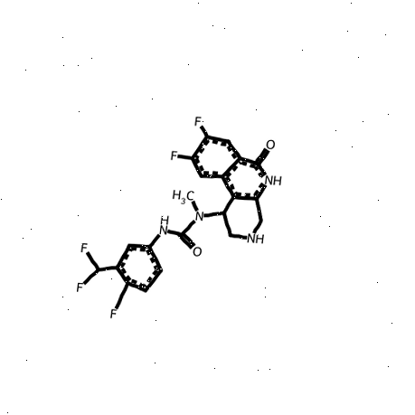 CN(C(=O)Nc1ccc(F)c(C(F)F)c1)C1CNCc2[nH]c(=O)c3cc(F)c(F)cc3c21